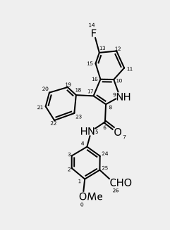 COc1ccc(NC(=O)c2[nH]c3ccc(F)cc3c2-c2ccccc2)cc1C=O